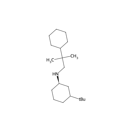 CC(C)(C)C1CCC[C@@H](NCC(C)(C)C2CCCCC2)C1